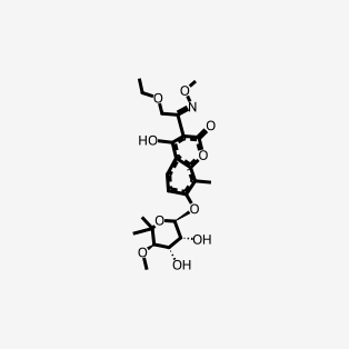 CCOC/C(=N\OC)c1c(O)c2ccc(O[C@@H]3OC(C)(C)[C@H](OC)[C@@H](O)[C@H]3O)c(C)c2oc1=O